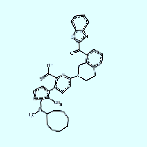 Cc1c(-c2ccc(N3CCc4cccc(C(=O)c5nc6ccccc6s5)c4C3)nc2C(=O)O)ccnc1N(C)C1CCCCCCC1